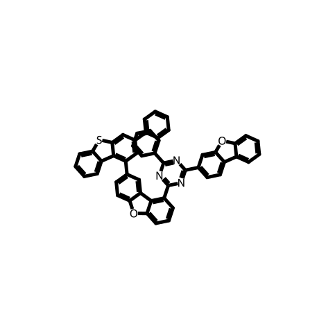 c1ccc(-c2cc(-c3ccc4oc5cccc(-c6nc(-c7ccccc7)nc(-c7ccc8c(c7)oc7ccccc78)n6)c5c4c3)c3c(c2)sc2ccccc23)cc1